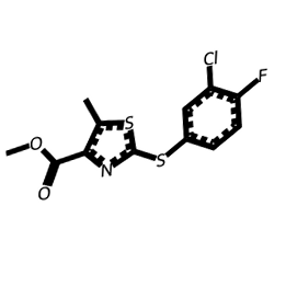 COC(=O)c1nc(Sc2ccc(F)c(Cl)c2)sc1C